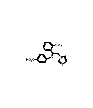 COc1ccccc1C(Cn1ccnc1)Sc1ccc(C(=O)O)cc1